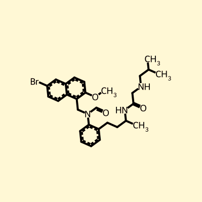 COc1ccc2cc(Br)ccc2c1CN(C=O)c1ccccc1CCC(C)NC(=O)CNCC(C)C